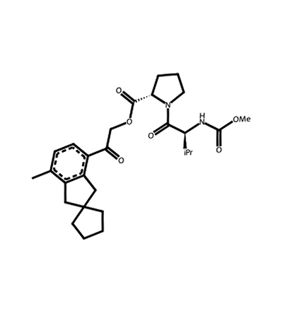 COC(=O)N[C@H](C(=O)N1CCC[C@H]1C(=O)OCC(=O)c1ccc(C)c2c1CC1(CCCC1)C2)C(C)C